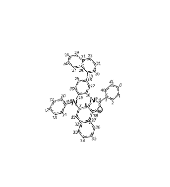 c1ccc(-c2nc3c(N(c4ccccc4)c4ccc(-c5cccc6ccccc56)cc4)cc4ccccc4c3o2)cc1